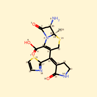 N[C@@H]1C(=O)N2C(C(=O)O)=C(C(=C3CCNC3=O)c3nccs3)CS[C@H]12